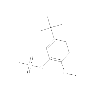 COC1=C(NS(C)(=O)=O)C=C(C(C)(C)C)C[CH]1